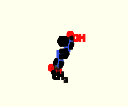 CCS(=O)(=O)N1CCN(c2ccc(N3CCN(C(=O)O)c4ccccc43)cn2)CC1